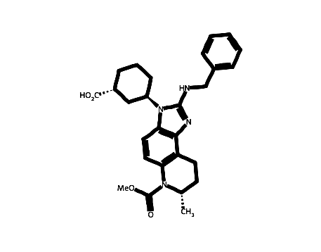 COC(=O)N1c2ccc3c(nc(NCc4ccccc4)n3[C@@H]3CCC[C@@H](C(=O)O)C3)c2CC[C@@H]1C